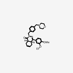 CCOc1cc(C2=NN(Cc3ccc(CN4CCOCC4)cc3)C(=O)[C@H]3CC=CC[C@@H]23)ccc1OC